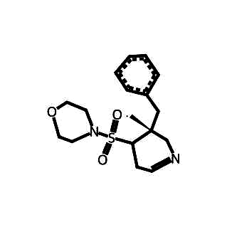 [CH2][C@@]1(Cc2ccccc2)CN=CCC1S(=O)(=O)N1CCOCC1